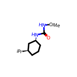 CONC(=O)N[C@@H]1CCC[C@@H](C(C)C)C1